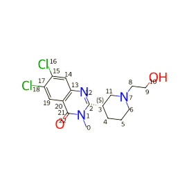 Cn1c([C@H]2CCCN(CCO)C2)nc2cc(Cl)c(Cl)cc2c1=O